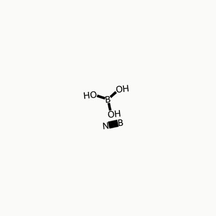 B#N.OB(O)O